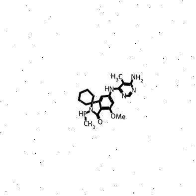 COc1cc(Nc2ncnc(N)c2C)cc2c1C(=O)N(PC)C21CCCCC1